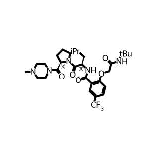 CC(C)C[C@@H](NC(=O)c1cc(C(F)(F)F)ccc1OCC(=O)NC(C)(C)C)C(=O)N1CCC[C@@H]1C(=O)N1CCN(C)CC1